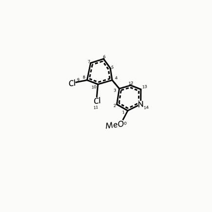 COc1cc(-c2cccc(Cl)c2Cl)ccn1